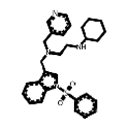 O=S(=O)(c1ccccc1)n1cc(CN(CCNC2CCCCC2)Cc2cccnc2)c2ccccc21